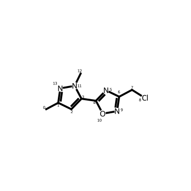 Cc1cc(-c2nc(CCl)no2)n(C)n1